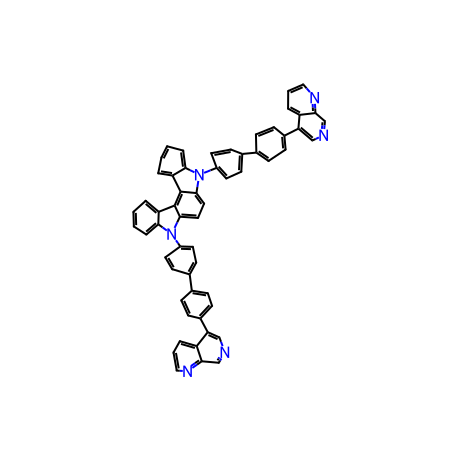 c1cnc2cncc(-c3ccc(-c4ccc(-n5c6ccccc6c6c7c8ccccc8n(-c8ccc(-c9ccc(-c%10cncc%11ncccc%10%11)cc9)cc8)c7ccc65)cc4)cc3)c2c1